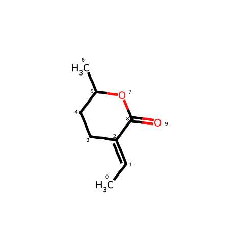 C/C=C1\CCC(C)OC1=O